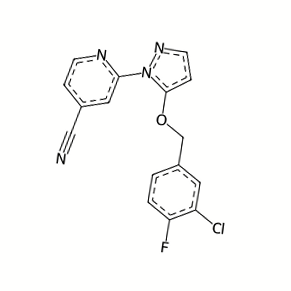 N#Cc1ccnc(-n2nccc2OCc2ccc(F)c(Cl)c2)c1